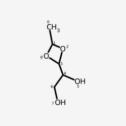 CC1OC(C(O)CO)O1